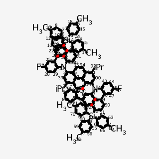 Cc1ccc([Si](c2ccc(C)cc2)(c2ccc(C)cc2)c2ccc(-c3cc(F)ccc3N(c3cc(C(C)C)c4ccc5c(N(c6ccc(F)cc6-c6ccc([Si](c7ccc(C)cc7)(c7ccc(C)cc7)c7ccc(C)cc7)cc6)c6cccc7c6oc6ccccc67)cc(C(C)C)c6ccc3c4c65)c3cccc4c3oc3ccccc34)cc2)cc1